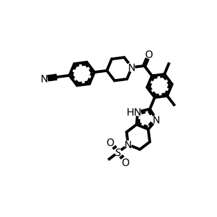 Cc1cc(C)c(-c2nc3c([nH]2)CN(S(C)(=O)=O)CC3)cc1C(=O)N1CCC(c2ccc(C#N)cc2)CC1